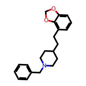 c1ccc(CN2CCC(CCc3cccc4c3OCO4)CC2)cc1